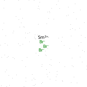 [Br-].[Br-].[Br-].[Sm+3]